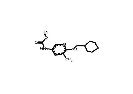 Cc1cc(NC(=O)OC(C)C)cnc1NCC1CCCCC1